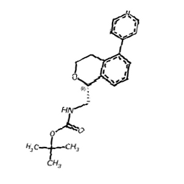 CC(C)(C)OC(=O)NC[C@@H]1OCCc2c(-c3ccncc3)cccc21